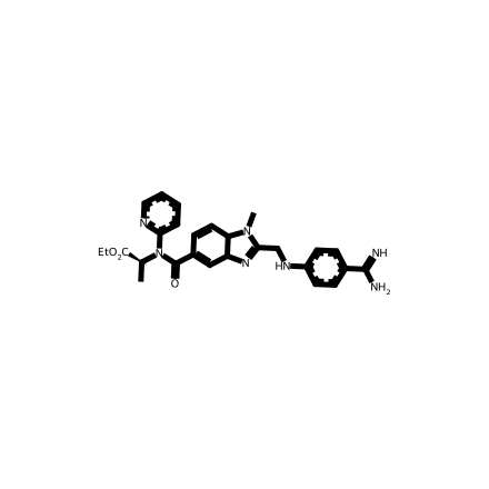 CCOC(=O)[C@H](C)N(C(=O)C1=CC2N=C(CNc3ccc(C(=N)N)cc3)N(C)C2C=C1)c1ccccn1